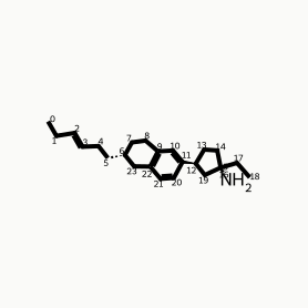 CC/C=C/CC[C@@H]1CCc2cc([C@H]3CC[C@](N)(CC)C3)ccc2C1